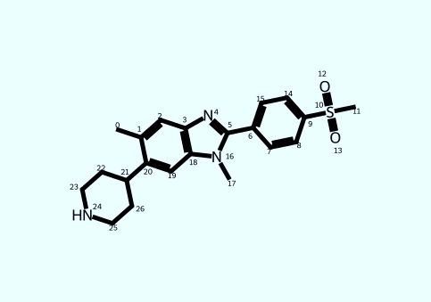 Cc1cc2nc(-c3ccc(S(C)(=O)=O)cc3)n(C)c2cc1C1CCNCC1